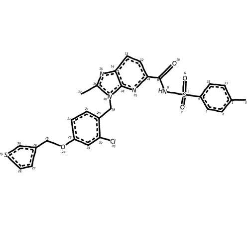 Cc1ccc(S(=O)(=O)NC(=O)c2ccc3nc(C)n(Cc4ccc(OCc5ccsc5)cc4Cl)c3n2)cc1